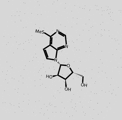 CSc1ncnc2c1ccn2[C@@H]1O[C@H](CO)[C@@H](O)[C@H]1O